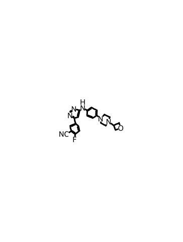 N#Cc1cc(-c2cc(Nc3ccc(N4CCN(C5COC5)CC4)cc3)ncn2)ccc1F